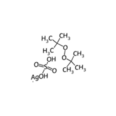 CC(C)(C)OOC(C)(C)C.O=S(=O)(O)O.[Ag]